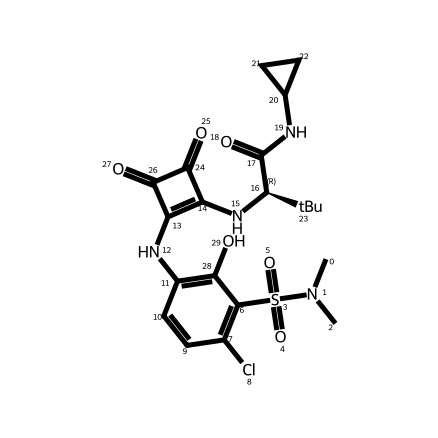 CN(C)S(=O)(=O)c1c(Cl)ccc(Nc2c(N[C@@H](C(=O)NC3CC3)C(C)(C)C)c(=O)c2=O)c1O